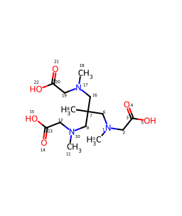 CN(CC(=O)O)CC(C)(CN(C)CC(=O)O)CN(C)CC(=O)O